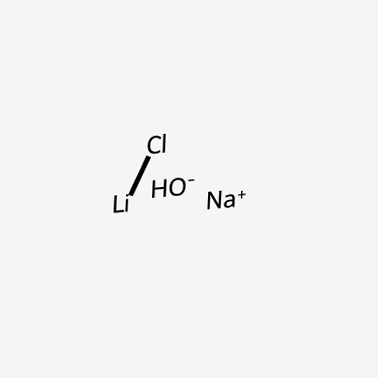 [Li][Cl].[Na+].[OH-]